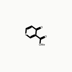 COC(=O)c1csccc1=O